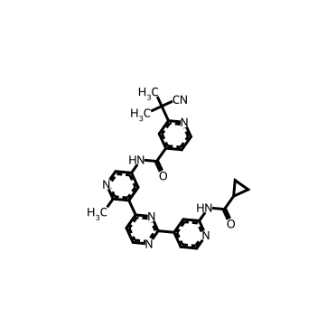 Cc1ncc(NC(=O)c2ccnc(C(C)(C)C#N)c2)cc1-c1ccnc(-c2ccnc(NC(=O)C3CC3)c2)n1